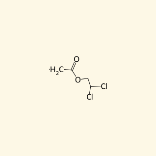 [CH2]C(=O)OCC(Cl)Cl